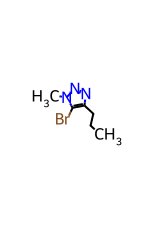 CCCc1nnn(C)c1Br